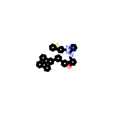 N/C(=N\C(=N/Cc1cccc2oc3ccc(-c4cccc(-c5ccc6c(c5)-c5ccccc5C65c6ccccc6-c6ccccc65)c4)cc3c12)c1ccccc1)c1ccc2c(c1)sc1ccccc12